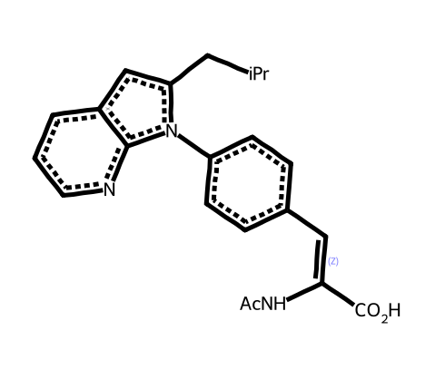 CC(=O)N/C(=C\c1ccc(-n2c(CC(C)C)cc3cccnc32)cc1)C(=O)O